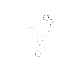 N=C(N)NCCC[C@H]1CN(CCOc2ccc3ccccc3c2)CCN1C(=O)[C@@H](N)Cc1ccc(Cl)cc1Cl